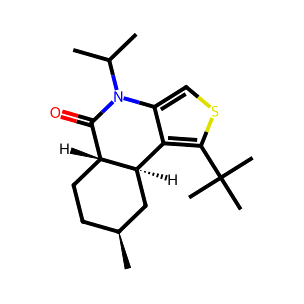 CC(C)N1C(=O)[C@H]2CC[C@H](C)C[C@@H]2c2c1csc2C(C)(C)C